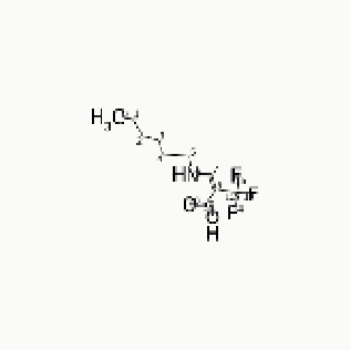 CCCCCCN/C=C(\C(=O)O)C(F)(F)F